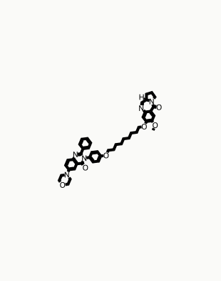 COc1cc2c(cc1OCCCCCCCCCOc1ccc(-n3c(-c4ccccc4)nc4ccc(N5CCOCC5)cc4c3=O)cc1)N=C[C@@H]1CCCN1C2=O